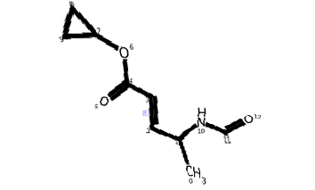 CC(/C=C/C(=O)OC1CC1)NC=O